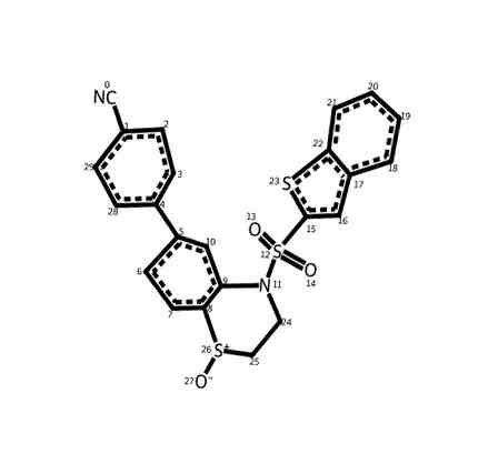 N#Cc1ccc(-c2ccc3c(c2)N(S(=O)(=O)c2cc4ccccc4s2)CC[S+]3[O-])cc1